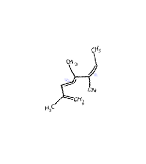 C=C(C)/C=C(C)\C(C#N)=C/C